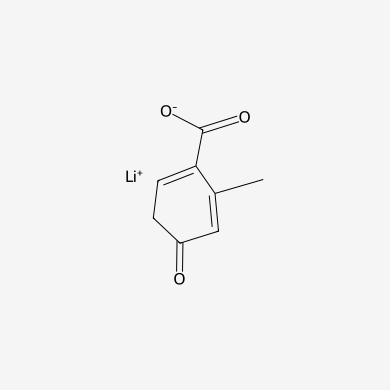 CC1=CC(=O)CC=C1C(=O)[O-].[Li+]